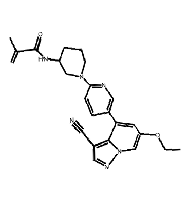 C=C(C)C(=O)NC1CCCN(c2ccc(-c3cc(OCC)cn4ncc(C#N)c34)cn2)C1